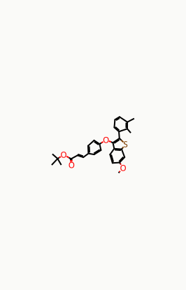 COc1ccc2c(Oc3ccc(C=CC(=O)OC(C)(C)C)cc3)c(-c3cccc(C)c3C)sc2c1